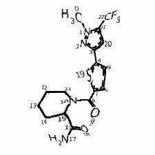 Cn1nc(-c2ccc(C(=O)N3CCCCC3C(N)=O)s2)cc1C(F)(F)F